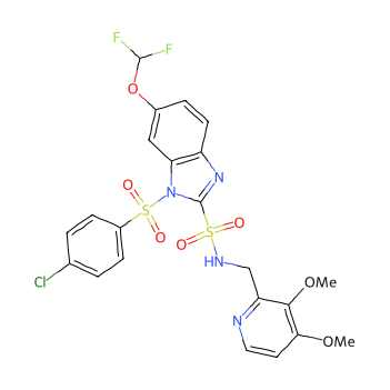 COc1ccnc(CNS(=O)(=O)c2nc3ccc(OC(F)F)cc3n2S(=O)(=O)c2ccc(Cl)cc2)c1OC